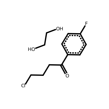 O=C(CCCCl)c1ccc(F)cc1.OCCO